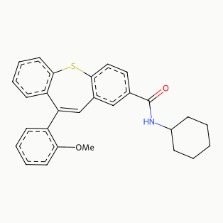 COc1ccccc1C1=Cc2cc(C(=O)NC3CCCCC3)ccc2Sc2ccccc21